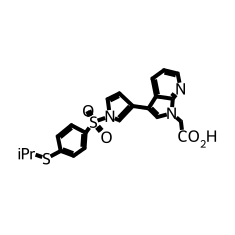 CC(C)Sc1ccc(S(=O)(=O)n2ccc(-c3cn(CC(=O)O)c4ncccc34)c2)cc1